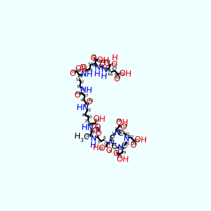 C[C@@H](NC(=O)CC[C@@H](C(=O)O)N1CCN(CC(=O)O)CCN(CC(=O)O)CCN(CC(=O)O)CC1)C(=O)N[C@H](CCCCNC(=O)CCC(=O)NCCC[C@@H](NC(=O)CC[C@H](NC(=O)N[C@@H](CCC(=O)O)C(=O)O)C(=O)O)C(=O)O)C(=O)O